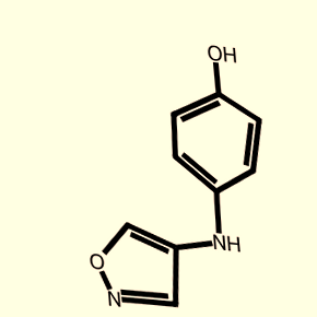 Oc1ccc(Nc2cnoc2)cc1